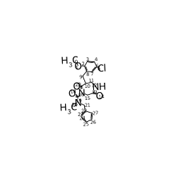 COc1ccc(Cl)cc1CC1CNC(=O)CN(C(=O)N(C)Cc2ccccc2)C1=O